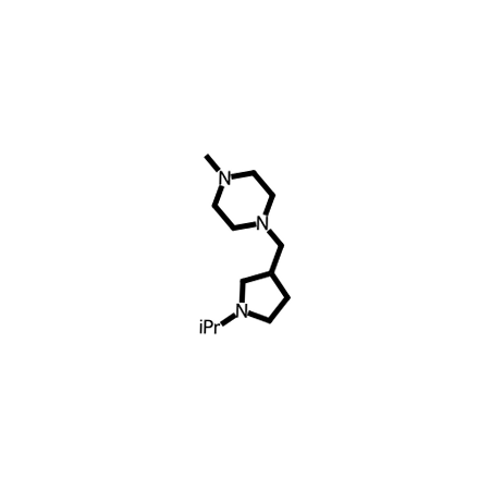 CC(C)N1CCC(CN2CCN(C)CC2)C1